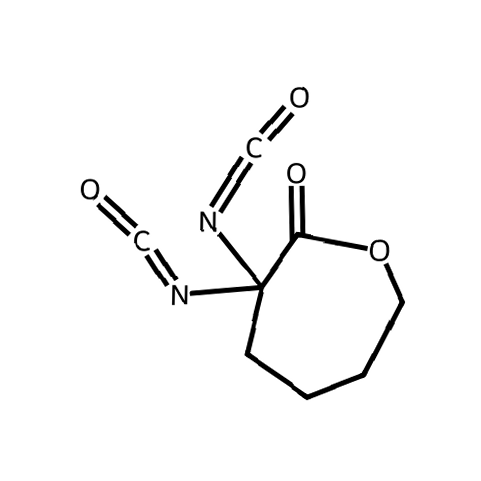 O=C=NC1(N=C=O)CCCCOC1=O